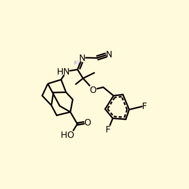 CC(C)(OCc1cc(F)cc(F)c1)/C(=N\C#N)NC1C2CC3CC1CC(C(=O)O)(C3)C2